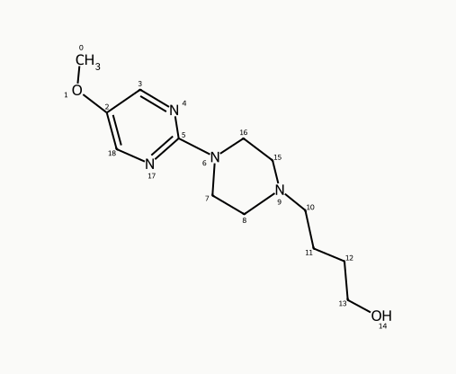 COc1cnc(N2CCN(CCCCO)CC2)nc1